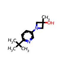 CC1(O)CN(c2ccc(C(C)(C)C)nc2)C1